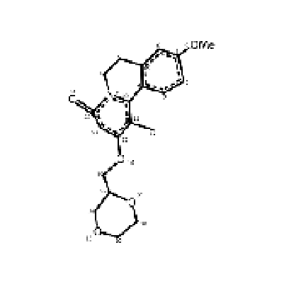 COc1ccc2c(c1)CCn1c-2c(C)c(OCC2COCCO2)cc1=O